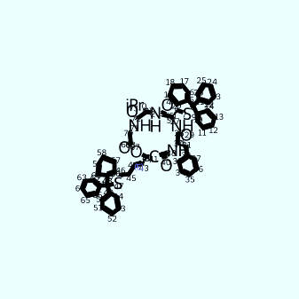 CC(C)[C@H]1NC(=O)[C@@H](CSC(c2ccccc2)(c2ccccc2)c2ccccc2)NC(=O)[C@@H](Cc2ccccc2)NC(=O)C[C@@H](/C=C/CCSC(c2ccccc2)(c2ccccc2)c2ccccc2)OC(=O)CNC1=O